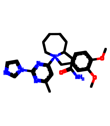 COc1ccc(C[N+]2(c3cc(C)nc(-n4ccnc4)n3)CCCCCC2CC(N)=O)cc1OC